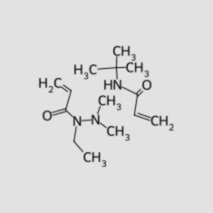 C=CC(=O)N(CC)N(C)C.C=CC(=O)NC(C)(C)C